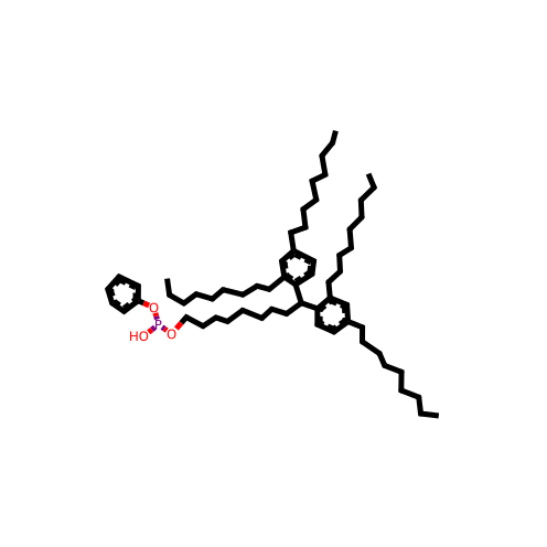 CCCCCCCCCc1ccc(C(CCCCCCCCOP(O)Oc2ccccc2)c2ccc(CCCCCCCCC)cc2CCCCCCCCC)c(CCCCCCCCC)c1